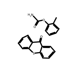 Cc1ccccc1OC(N)=O.O=c1c2ccccc2sc2ccccc12